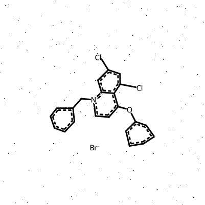 Clc1cc(Cl)c2c(Oc3ccccc3)cc[n+](Cc3ccccc3)c2c1.[Br-]